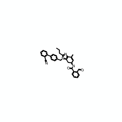 CCCc1nc2c(n1Cc1ccc(-c3ccccc3C#N)cc1)CC(=NC(=O)c1ccccc1C=O)C=C2C